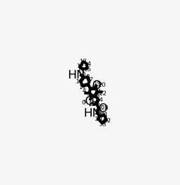 COc1c(C)c(-c2ccc(NC3CCCC3)cc2)c(OC)c(C)c1/C=C(\C)C(=O)NC1CC=CC1